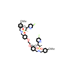 COc1ccc(CN(Cc2ccc(OCCOc3ccc(CN(Cc4ccc(OC)cc4)S(=O)(=O)[C@@H](C)[C@@H](OC)c4ccc(F)cn4)cc3)cc2)S(=O)(=O)[C@H](C)[C@H](OC)c2ccc(F)cn2)cc1